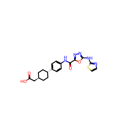 O=C(O)C[C@H]1CC[C@H](c2ccc(NC(=O)c3nnc(Nc4nccs4)o3)cc2)CC1